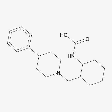 O=C(O)NC1CCCCC1CN1CCC(c2ccccc2)CC1